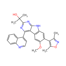 COc1cc2c(cc1-c1c(C)noc1C)[nH]c1nc(C(C)(C)O)nc(-c3ccnc4ccccc34)c12